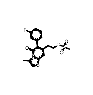 Cc1csc2cc(CCOS(C)(=O)=O)c(-c3cccc(F)c3)c(=O)n12